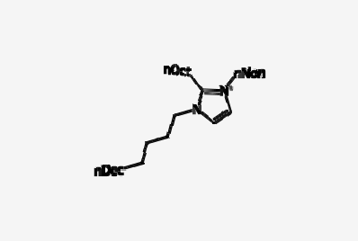 CCCCCCCCCCCCCCn1cc[n+](CCCCCCCCC)c1CCCCCCCC